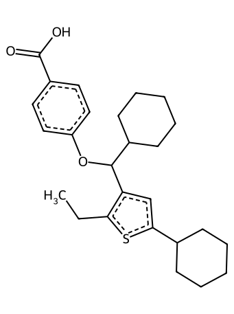 CCc1sc(C2CCCCC2)cc1C(Oc1ccc(C(=O)O)cc1)C1CCCCC1